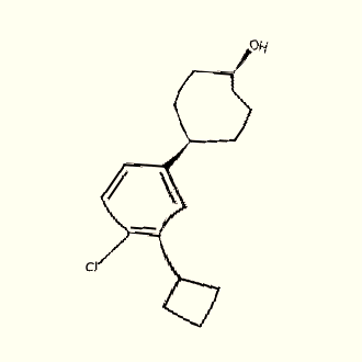 O[C@H]1CC[C@@H](c2ccc(Cl)c(C3CCC3)c2)CC1